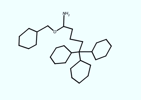 NC(CCCC(C1CCCCC1)(C1CCCCC1)C1CCCCC1)OCC1CCCCC1